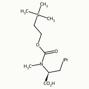 CC(C)C[C@@H](C(=O)O)N(C)C(=O)OCC[Si](C)(C)C